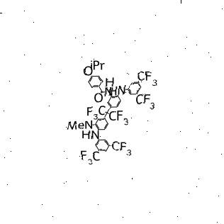 CNc1cc(C(c2ccc(Nc3cc(C(F)(F)F)cc(C(F)(F)F)c3)c(NC(=O)c3ccc(OC(C)C)cc3)c2)(C(F)(F)F)C(F)(F)F)ccc1Nc1cc(C(F)(F)F)cc(C(F)(F)F)c1